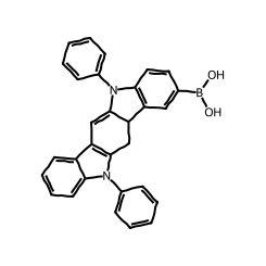 OB(O)c1ccc2c(c1)C1Cc3c(c4ccccc4n3-c3ccccc3)C=C1N2c1ccccc1